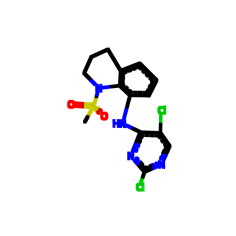 CS(=O)(=O)N1CCCc2cccc(Nc3nc(Cl)ncc3Cl)c21